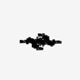 COCC(C)OS(=O)(=O)c1ccc2c(Oc3c(F)c(F)c(-c4c(F)c(F)c(Oc5cc(S(=O)(=O)OC(C)COC)cc6cc(S(=O)(=O)OC(C)COC)ccc56)c(F)c4F)c(F)c3F)cc(S(=O)(=O)OC(C)COC)cc2c1